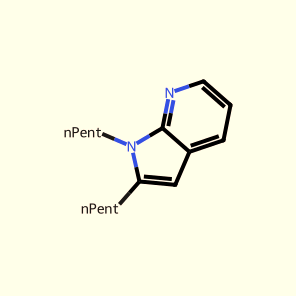 CCCCCc1cc2cccnc2n1CCCCC